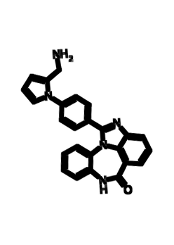 NCc1cccn1-c1ccc(-c2nc3cccc4c3n2-c2ccccc2NC4=O)cc1